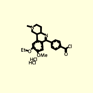 CCOc1cc2c(cc1OC)C(c1ccc(C(=O)Cl)cc1)=NC1CCN(C)CC21.Cl.Cl